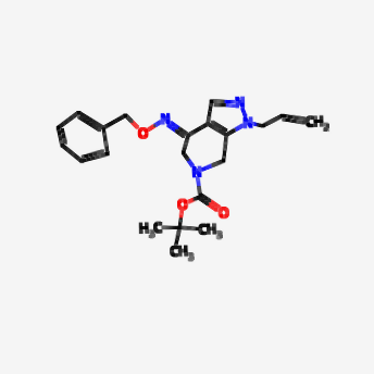 C=CCn1ncc2c1CN(C(=O)OC(C)(C)C)CC2=NOCc1ccccc1